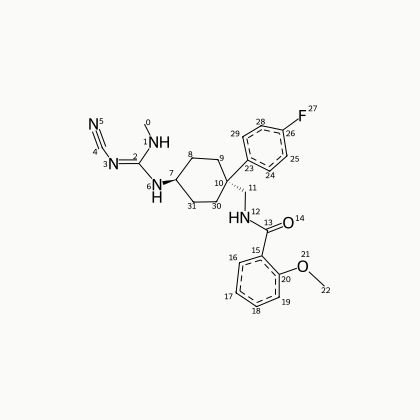 CN/C(=N\C#N)N[C@H]1CC[C@@](CNC(=O)c2ccccc2OC)(c2ccc(F)cc2)CC1